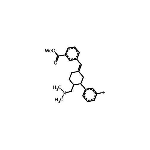 COC(=O)c1cccc(C=C2CCC(CN(C)C)C(c3cccc(F)c3)C2)c1